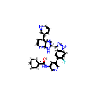 O=C(Nc1cncc(-c2cc3c(-c4nc5c(-c6cccnc6)ccnc5[nH]4)n[nH]c3cc2F)c1)C1CCCCC1